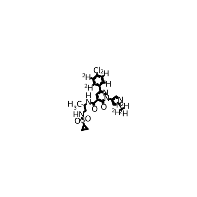 [2H]c1c([2H])c(-c2cc(C(=O)N[C@@H](C)CNS(=O)(=O)C3CC3)c(=O)n(-c3cnn(C([2H])([2H])[2H])c3)n2)c([2H])c([2H])c1Cl